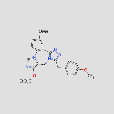 CCOC(=O)Oc1ncn2c1Cn1c(Cc3ccc(OC(F)(F)F)cc3)nnc1-c1cc(OC)ccc1-2